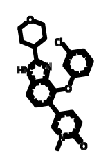 Cn1cc(-c2ccc3[nH]c(C4CCOCC4)nc3c2Oc2cccc(Cl)c2)ccc1=O